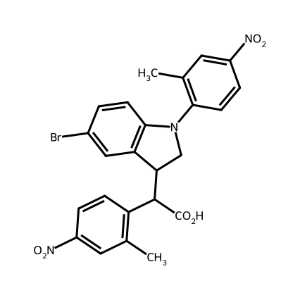 Cc1cc([N+](=O)[O-])ccc1C(C(=O)O)C1CN(c2ccc([N+](=O)[O-])cc2C)c2ccc(Br)cc21